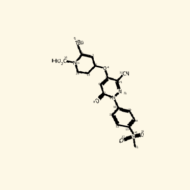 CC(C)(C)C1CC(Oc2cc(=O)n(-c3ccc(S(C)(=O)=O)cc3)nc2C#N)CCN1C(=O)O